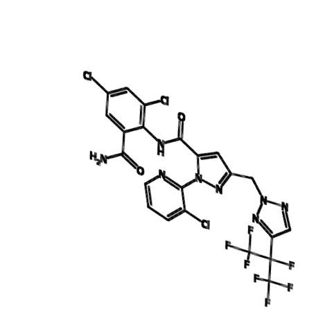 NC(=O)c1cc(Cl)cc(Cl)c1NC(=O)c1cc(Cn2ncc(C(F)(C(F)(F)F)C(F)(F)F)n2)nn1-c1ncccc1Cl